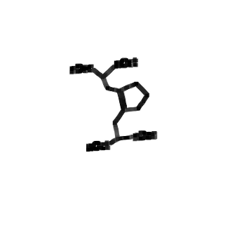 CCCCCCCCCCC(CCCCCCCC)CC1=C(CC(CCCCCCCC)CCCCCCCCCC)CCC1